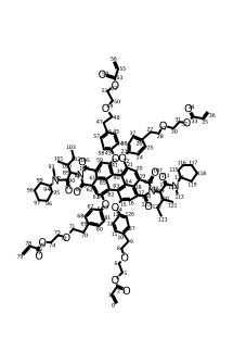 C=CC(=O)OCCOCCc1ccc(Oc2cc3c4c(cc(Oc5ccc(CCOCCOC(=O)C=C)cc5)c5c6c(Oc7ccc(CCOCCOC(=O)C=C)cc7)cc7c8c(cc(Oc9ccc(CCOCCOC(=O)C=C)cc9)c(c2c45)c86)C(=O)N(C(C(=O)N(C)C2CCCCC2)C(C)CC)C7=O)C(=O)N(C(C(=O)N(C)C2CCCCC2)C(C)CC)C3=O)cc1